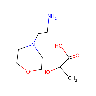 CC(O)C(=O)O.NCCN1CCOCC1